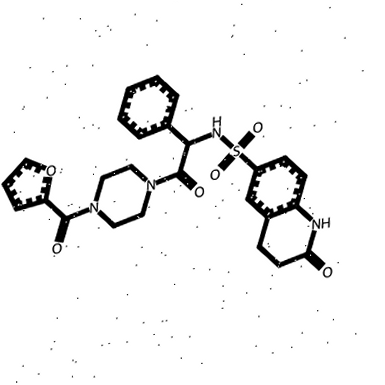 O=C1CCc2cc(S(=O)(=O)NC(C(=O)N3CCN(C(=O)c4ccco4)CC3)c3ccccc3)ccc2N1